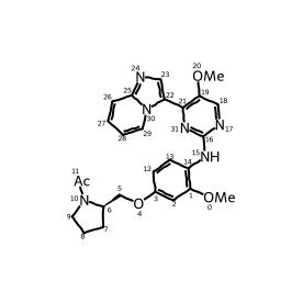 COc1cc(OC[C@H]2CCCN2C(C)=O)ccc1Nc1ncc(OC)c(-c2cnc3ccccn23)n1